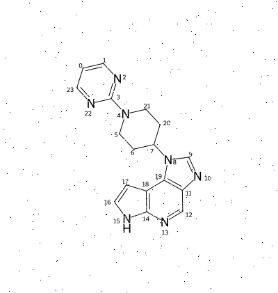 c1cnc(N2CCC(n3cnc4cnc5[nH]ccc5c43)CC2)nc1